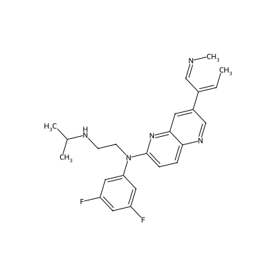 C/C=C(\C=N/C)c1cnc2ccc(N(CCNC(C)C)c3cc(F)cc(F)c3)nc2c1